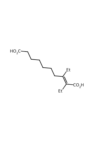 CC/C(CCCCCCC(=O)O)=C(/CC)C(=O)O